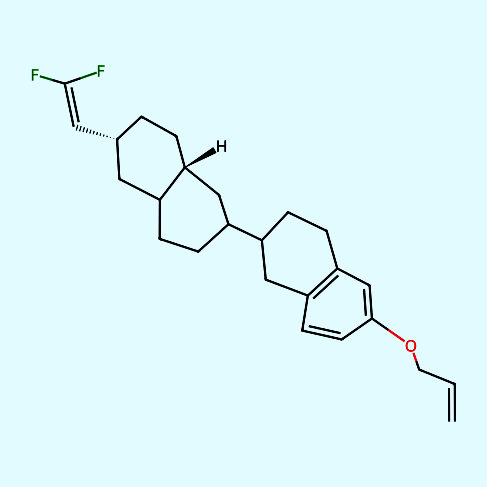 C=CCOc1ccc2c(c1)CCC(C1CCC3C[C@H](C=C(F)F)CC[C@@H]3C1)C2